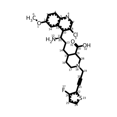 COc1ccc2ncc(Cl)c([C@H](N)CCC3CCN(CC#Cc4sccc4F)CC3C(=O)O)c2c1